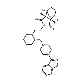 O=C1[C@@H]2[C@H]3CC[C@H](C3)[C@@H]2C(=O)N1CC[C@@H]1CCCC[C@H]1CN1CCN(c2nsc3ccccc23)CC1